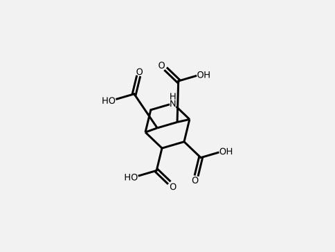 O=C(O)C1C2CNC(C1C(=O)O)C(C(=O)O)C2C(=O)O